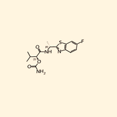 CC(C)[C@H](OC(N)=O)C(=O)N[C@H](C)c1nc2ccc(F)cc2s1